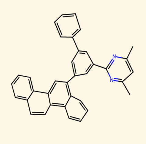 Cc1cc(C)nc(-c2cc(-c3ccccc3)cc(-c3cc4c5ccccc5ccc4c4ccccc34)c2)n1